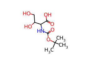 CC(C)(C)OC(=O)NC(C(=O)O)C(O)CO